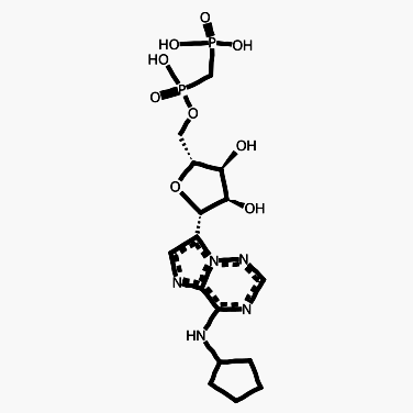 O=P(O)(O)CP(=O)(O)OC[C@H]1O[C@@H](c2cnc3c(NC4CCCC4)ncnn23)[C@H](O)[C@@H]1O